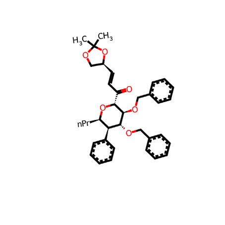 CCC[C@H]1O[C@H](C(=O)/C=C/[C@H]2COC(C)(C)O2)[C@@H](OCc2ccccc2)[C@H](OCc2ccccc2)[C@H]1c1ccccc1